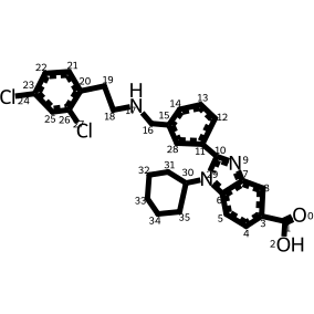 O=C(O)c1ccc2c(c1)nc(-c1cccc(CNCCc3ccc(Cl)cc3Cl)c1)n2C1CCCCC1